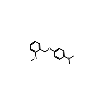 COc1ccccc1COc1ccc(B(C)C)cc1